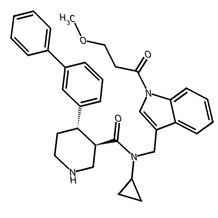 COCCC(=O)n1cc(CN(C(=O)[C@H]2CNCC[C@@H]2c2cccc(-c3ccccc3)c2)C2CC2)c2ccccc21